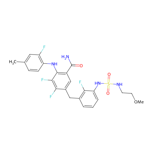 COCCNS(=O)(=O)Nc1cccc(Cc2cc(C(N)=O)c(Nc3ccc(C)cc3F)c(F)c2F)c1F